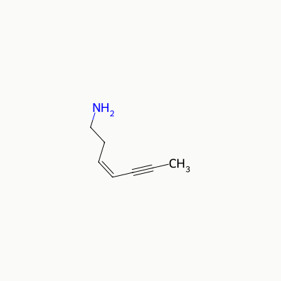 CC#C/C=C\CCN